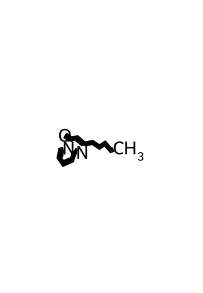 CCCCCc1cc(=O)n2ccccc2n1